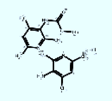 Cc1cc(C(F)(F)F)c(N)c(C)n1.Cc1cc(C(F)(F)F)c(NC(=O)OC(C)(C)C)c(C)n1.Cl.Cl